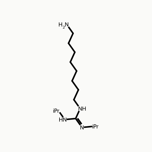 CC(C)/N=C(\NCCCCCCCCN)NC(C)C